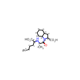 CC(C)CCCC(N[C@@H](C)C(=O)N1C(C(=O)O)CC2CCCCC21)C(=O)O